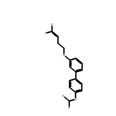 FC(F)=CCCOc1cccc(-c2ccc(OC(F)F)cc2)c1